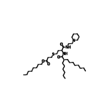 CCCCCCCCOC(=O)CCSCCC(NC(=O)C(CCCCCC)CCCCCCCC)C(=O)NCCN1CCCCC1